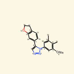 COc1cc(-n2nncc2-c2ccc3c(c2)OCC3)cc(C)c1C